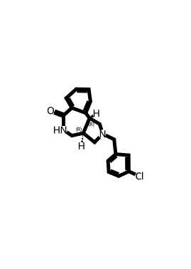 O=C1NC[C@@H]2CN(Cc3cccc(Cl)c3)C[C@H]2c2ccccc21